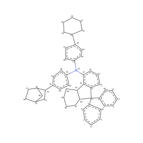 c1ccc(C2(c3ccccc3)c3cccc(N(c4ccc(C5CCCCC5)cc4)c4ccc(C5CC6CCC5C6)cc4)c3C3CCCCC32)cc1